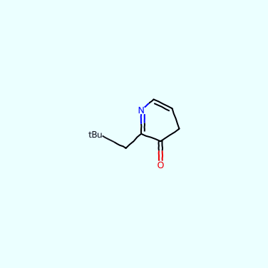 CC(C)(C)CC1=NC=CCC1=O